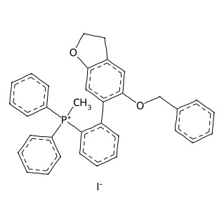 C[P+](c1ccccc1)(c1ccccc1)c1ccccc1-c1cc2c(cc1OCc1ccccc1)CCO2.[I-]